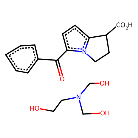 O=C(c1ccccc1)c1ccc2n1CCC2C(=O)O.OCCN(CO)CO